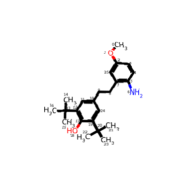 COc1ccc(N)c(CCc2cc(C(C)(C)C)c(O)c(C(C)(C)C)c2)c1